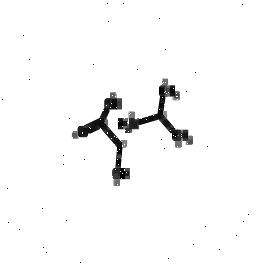 CC(C)N.O=C(O)CO